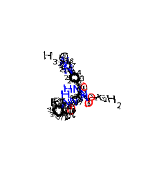 C=CCOC(=O)n1nc(NC(=O)c2ccc(N3CCN(C)CC3)cc2)c2c1CN(C(=O)Nc1c(CC)cccc1CC)C2